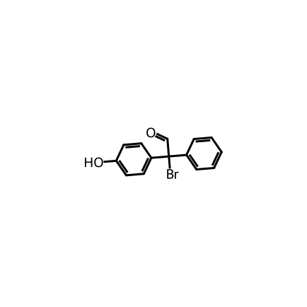 O=CC(Br)(c1ccccc1)c1ccc(O)cc1